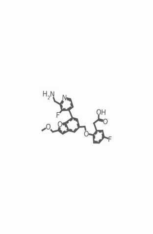 COCc1cc2cc(COc3ccc(F)cc3CC(=O)O)cc(-c3ccnc(CN)c3F)c2o1